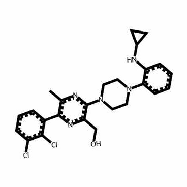 Cc1nc(N2CCN(c3ccccc3NC3CC3)CC2)c(CO)nc1-c1cccc(Cl)c1Cl